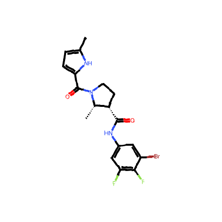 Cc1ccc(C(=O)N2CC[C@H](C(=O)Nc3cc(F)c(F)c(Br)c3)[C@@H]2C)[nH]1